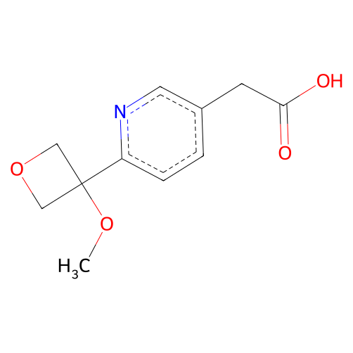 COC1(c2ccc(CC(=O)O)cn2)COC1